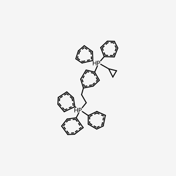 c1ccc([PH](CCc2ccc([PH](c3ccccc3)(c3ccccc3)C3CC3)cc2)(c2ccccc2)c2ccccc2)cc1